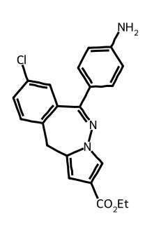 CCOC(=O)c1cc2n(c1)N=C(c1ccc(N)cc1)c1cc(Cl)ccc1C2